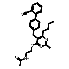 CCCCc1nc(C)nc(OCCNC(C)=O)c1Cc1ccc(-c2ccccc2C#N)cc1